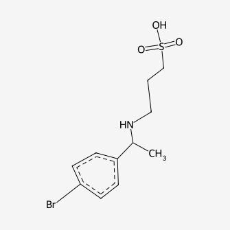 CC(NCCCS(=O)(=O)O)c1ccc(Br)cc1